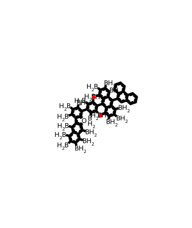 Bc1c(B)c(-c2c3c(B)c(B)c(B)c(B)c3c(-c3cc4ccccc4c4ccccc34)c3c(B)c(B)c(B)c(B)c23)c(B)c(B)c1-c1c(B)c(B)c(B)c2c1oc1c(B)c3c(B)c(B)c(B)c(B)c3c(B)c12